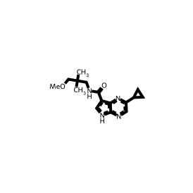 COCC(C)(C)CNC(=O)c1c[nH]c2ncc(C3CC3)nc12